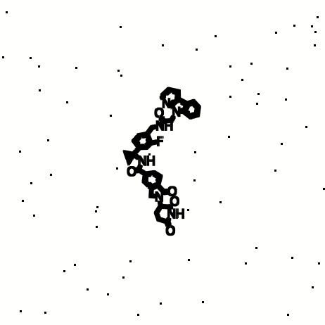 O=C(Cn1c2ccccc2c2cccnc21)NCc1ccc(C2(NC(=O)c3ccc4c(c3)CN(C3CCC(=O)NC3=O)C4=O)CC2)cc1F